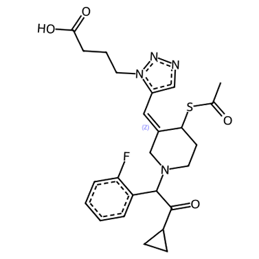 CC(=O)SC1CCN(C(C(=O)C2CC2)c2ccccc2F)C/C1=C/c1cnnn1CCCC(=O)O